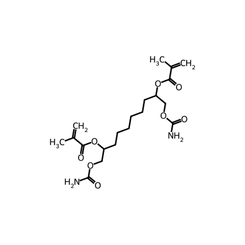 C=C(C)C(=O)OC(CCCCCCC(COC(N)=O)OC(=O)C(=C)C)COC(N)=O